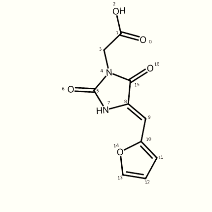 O=C(O)CN1C(=O)NC(=Cc2ccco2)C1=O